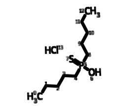 CCCCCP(O)(=S)CCCCC.Cl